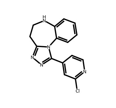 Clc1cc(-c2nnc3n2-c2ccccc2NCC3)ccn1